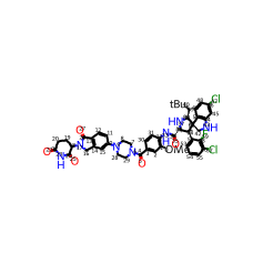 COc1cc(C(=O)N2CCN(c3ccc4c(c3)CN(C3CCC(=O)NC3=O)C4=O)CC2)ccc1NC(=O)[C@@H]1N[C@@H](CC(C)(C)C)[C@@]2(CNc3cc(Cl)ccc32)[C@H]1c1cccc(Cl)c1F